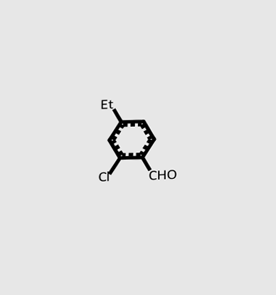 CCc1ccc(C=O)c(Cl)c1